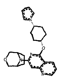 c1cnc2cc(N3C4CCC3COC4)nc(O[C@H]3CC[C@@H](n4cccc4)CC3)c2c1